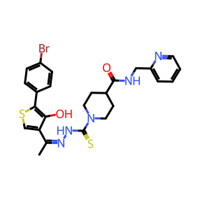 CC(=NNC(=S)N1CCC(C(=O)NCc2ccccn2)CC1)c1csc(-c2ccc(Br)cc2)c1O